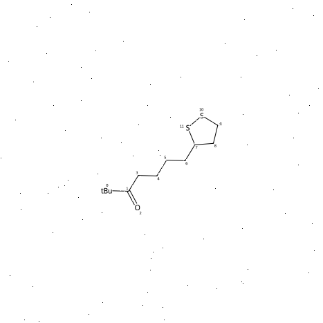 CC(C)(C)C(=O)CCCCC1CCSS1